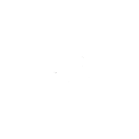 CCSC[C@H]1CCc2sc3nccc(O[C@H]4CC[C@H](N5CCOCC5)CC4)c3c21